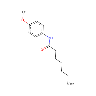 CCCCCCCCCCCCCCCC(=O)Nc1ccc(OCC)cc1